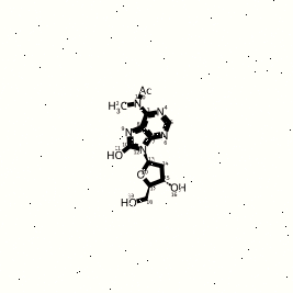 CC(=O)N(C)c1ncnc2c1nc(O)n2[C@H]1C[C@H](O)[C@@H](CO)O1